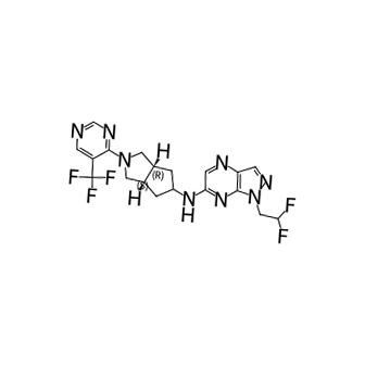 FC(F)Cn1ncc2ncc(NC3C[C@@H]4CN(c5ncncc5C(F)(F)F)C[C@@H]4C3)nc21